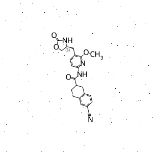 COc1nc(NC(=O)C2CCc3cc(C#N)ccc3C2)ccc1C[C@H]1COC(=O)N1